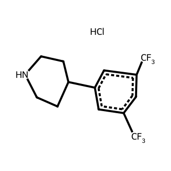 Cl.FC(F)(F)c1cc(C2CCNCC2)cc(C(F)(F)F)c1